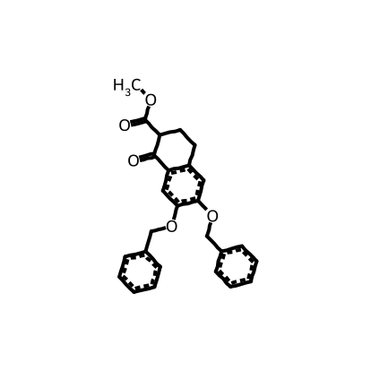 COC(=O)C1CCc2cc(OCc3ccccc3)c(OCc3ccccc3)cc2C1=O